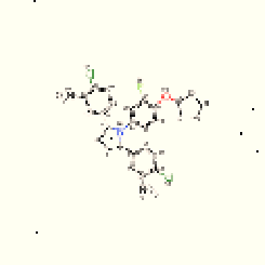 O=[N+]([O-])c1cc([C@H]2CC[C@H](c3ccc(Cl)c([N+](=O)[O-])c3)N2c2ccc(OC3CCCC3)c(F)c2)ccc1Cl